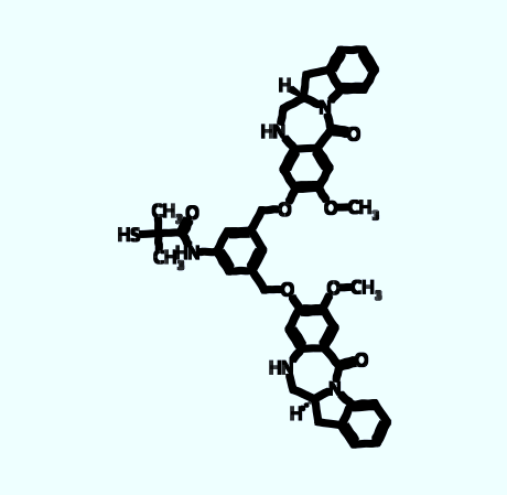 COc1cc2c(cc1OCc1cc(COc3cc4c(cc3OC)C(=O)N3c5ccccc5C[C@H]3CN4)cc(NC(=O)C(C)(C)S)c1)NC[C@@H]1Cc3ccccc3N1C2=O